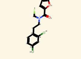 O=C(c1ccco1)N(CF)CCc1ccc(Cl)cc1Cl